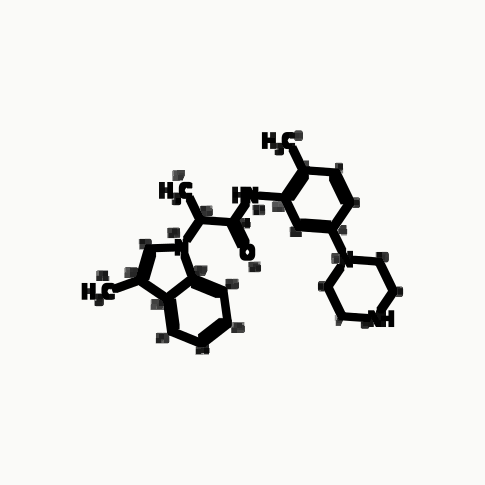 Cc1ccc(N2CCNCC2)cc1NC(=O)C(C)n1cc(C)c2ccccc21